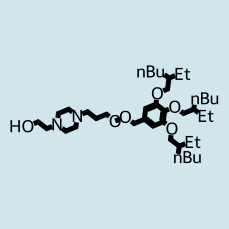 CCCCC(CC)COc1cc(COOCCCN2CCN(CCO)CC2)cc(OCC(CC)CCCC)c1OCC(CC)CCCC